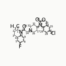 CC1CCc2cc(F)ccc2N1C(=O)CN1CCC(N2C(=O)OCc3cc(Cl)ccc32)CC1